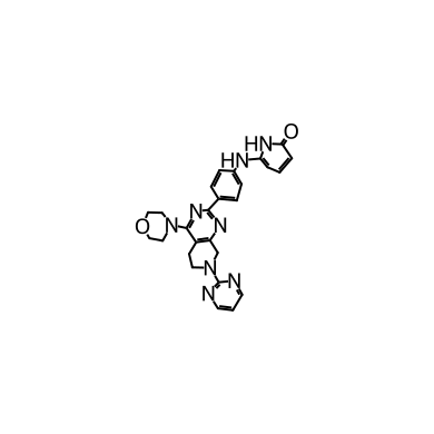 O=c1cccc(Nc2ccc(-c3nc4c(c(N5CCOCC5)n3)CCN(c3ncccn3)C4)cc2)[nH]1